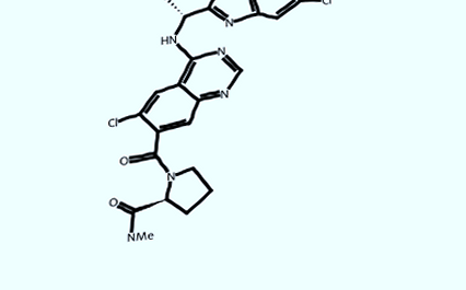 CNC(=O)[C@@H]1CCCN1C(=O)c1cc2ncnc(N[C@H](C)c3nc4cc(Cl)ccc4[nH]3)c2cc1Cl